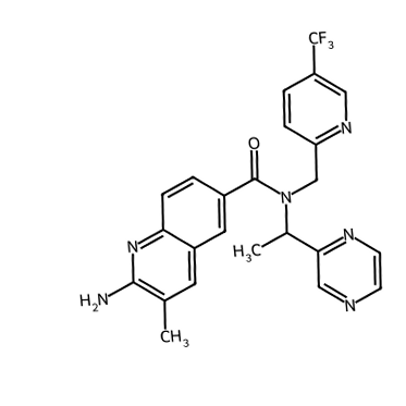 Cc1cc2cc(C(=O)N(Cc3ccc(C(F)(F)F)cn3)C(C)c3cnccn3)ccc2nc1N